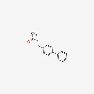 O=C(CCc1ccc(-c2ccccc2)cc1)C(F)(F)F